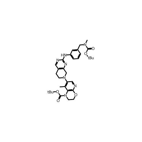 Cc1c(N2CCc3cnc(Nc4cccc(CN(C)C(=O)OC(C)(C)C)c4)nc3C2)cnc2c1N(C(=O)OC(C)(C)C)CCO2